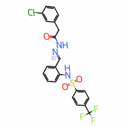 O=C(Cc1cccc(Cl)c1)N/N=C/c1ccccc1NS(=O)(=O)c1ccc(C(F)(F)F)cc1